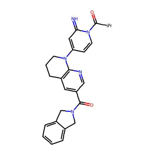 CC(C)C(=O)n1ccc(N2CCCc3cc(C(=O)N4Cc5ccccc5C4)cnc32)cc1=N